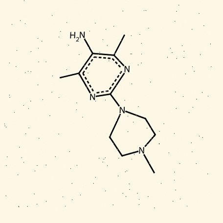 Cc1nc(N2CCN(C)CC2)nc(C)c1N